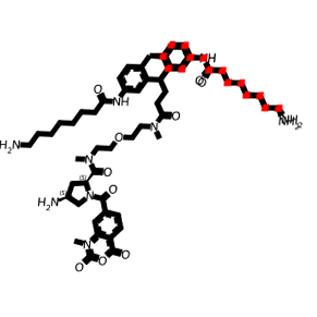 CN(CCOCCN(C)C(=O)[C@@H]1C[C@H](N)CN1C(=O)c1ccc2c(=O)oc(=O)n(C)c2c1)C(=O)CCC12c3cc(NC(=O)CCCCCCCN)ccc3C(c3ccc(NC(=O)CCCCCCCN)cc31)c1ccc(NC(=O)CCCCCCCN)cc12